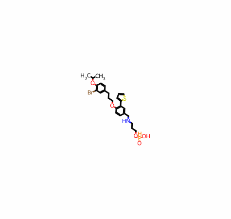 CC(C)Oc1ccc(CCCOc2ccc(CNCCCO[PH](=O)O)cc2-c2cccs2)cc1Br